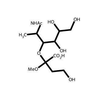 COC(CCO)(OC(C(C)NC(C)=O)C(O)C(O)CO)C(=O)O